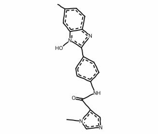 Cc1ccc2nc(-c3ccc(NC(=O)c4cncn4C)cc3)n(O)c2c1